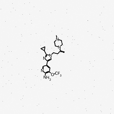 C=C(CCn1cc(-c2cnc(N)c(OC(F)(F)F)c2)nc1C1CC1)N1CCN(C)CC1